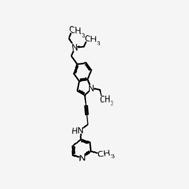 CCN(CC)Cc1ccc2c(c1)cc(C#CCNc1ccnc(C)c1)n2CC